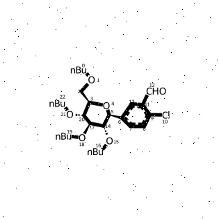 CCCCOC[C@H]1O[C@@H](c2ccc(Cl)c(C=O)c2)[C@H](OCCCC)[C@@H](OCCCC)[C@@H]1OCCCC